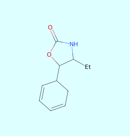 CCC1NC(=O)OC1C1C=CC=CC1